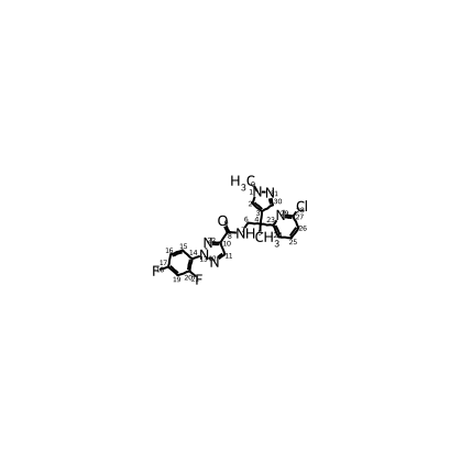 Cn1cc(C(C)(CNC(=O)c2cnn(-c3ccc(F)cc3F)n2)c2cccc(Cl)n2)cn1